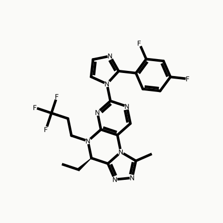 CC[C@@H]1c2nnc(C)n2-c2cnc(-n3ccnc3-c3ccc(F)cc3F)nc2N1CCC(F)(F)F